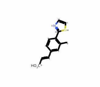 Cc1cc(/C=C/C(=O)O)ccc1-c1nccs1